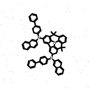 CC1(C)C2=c3c(c4cc(N(C5=CC=C(c6ccccc6)CC5)c5ccc6ccccc6c5)cc5c4n3-c3c1cccc3C5(C)C)=CC(N(c1ccc(-c3ccccc3)cc1)c1ccc3ccccc3c1)C2